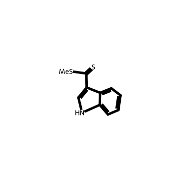 CSC(=S)c1c[nH]c2ccccc12